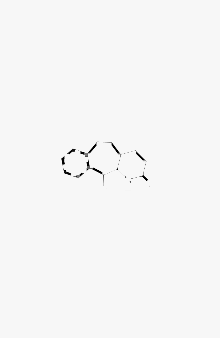 O=C1C=CC2=CC=c3ccccc3=C(O)C2N1